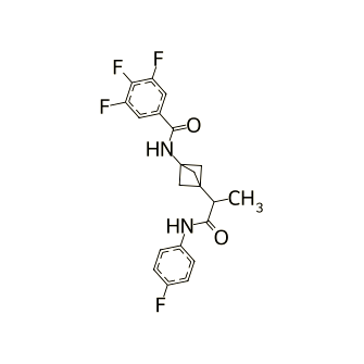 CC(C(=O)Nc1ccc(F)cc1)C12CC(NC(=O)c3cc(F)c(F)c(F)c3)(C1)C2